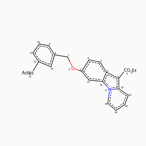 CCOC(=O)c1c2ccc(OCc3cccc(NC(C)=O)c3)cc2n2ccccc12